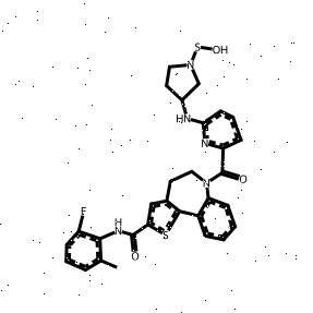 Cc1cccc(F)c1NC(=O)c1cc2c(s1)-c1ccccc1N(C(=O)c1cccc(NC3CCN(SO)C3)n1)CC2